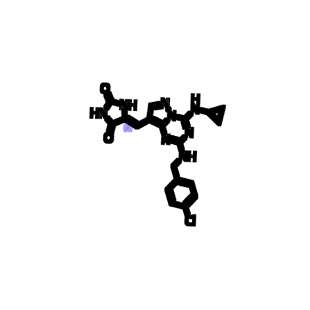 O=C1NC(=O)/C(=C/c2cnn3c(NC4CC4)nc(NCc4ccc(Cl)cc4)nc23)N1